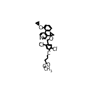 COC(=O)CCCCc1cc(Cl)c(COC2(c3cnccc3-c3ccccc3OC3CC3)CC2)cc1Cl